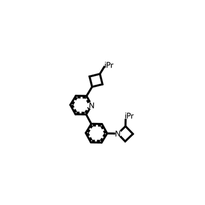 CC(C)C1CC(c2cccc(-c3cccc(N4CCC4C(C)C)c3)n2)C1